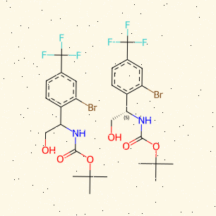 CC(C)(C)OC(=O)NC(CO)c1ccc(C(F)(F)F)cc1Br.CC(C)(C)OC(=O)N[C@H](CO)c1ccc(C(F)(F)F)cc1Br